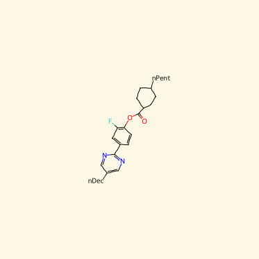 CCCCCCCCCCc1cnc(-c2ccc(OC(=O)C3CCC(CCCCC)CC3)c(F)c2)nc1